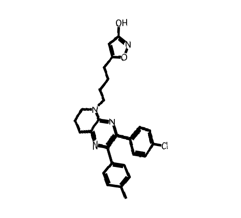 Cc1ccc(-c2nc3c(nc2-c2ccc(Cl)cc2)N(CCCCc2cc(O)no2)CCC3)cc1